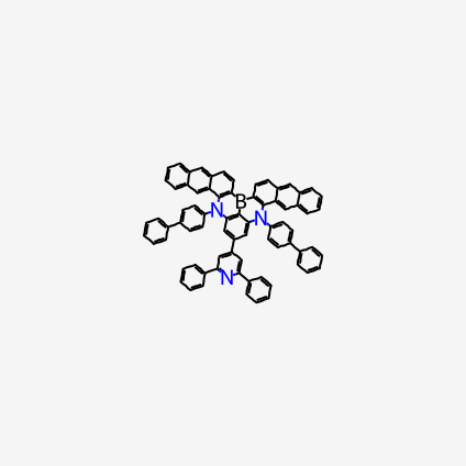 c1ccc(-c2ccc(N3c4cc(-c5cc(-c6ccccc6)nc(-c6ccccc6)c5)cc5c4B(c4ccc6cc7ccccc7cc6c43)c3ccc4cc6ccccc6cc4c3N5c3ccc(-c4ccccc4)cc3)cc2)cc1